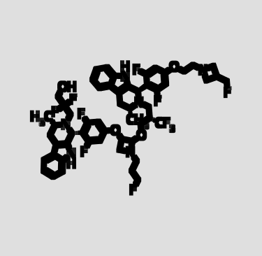 C[C@@H]1Cc2c([nH]c3ccccc23)[C@@H](c2c(F)cc(OCCN3CC(CF)C3)cc2F)N1C[C@@H](COC1C(Oc2cc(F)c([C@@H]3c4[nH]c5ccccc5c4C[C@@H](C)N3CC(F)(F)CO)c(F)c2)CN1CCCF)C(F)(F)F